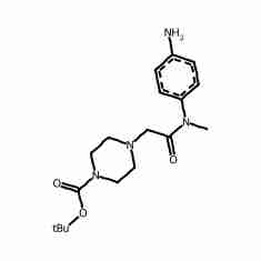 CN(C(=O)CN1CCN(C(=O)OC(C)(C)C)CC1)c1ccc(N)cc1